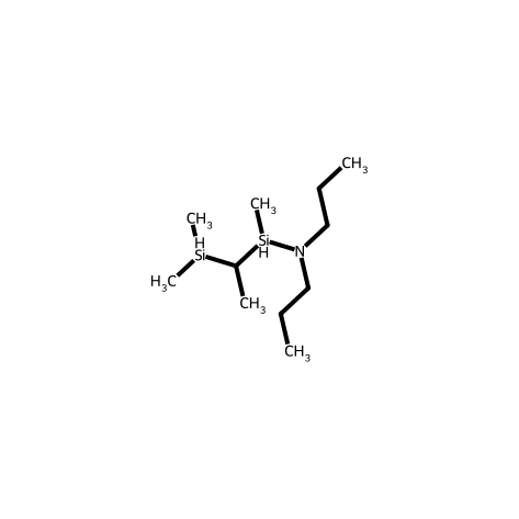 CCCN(CCC)[SiH](C)C(C)[SiH](C)C